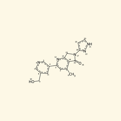 Cc1cc(-c2cncc(CO)c2)nc2c1C(=O)N(c1cc[nH]n1)C2